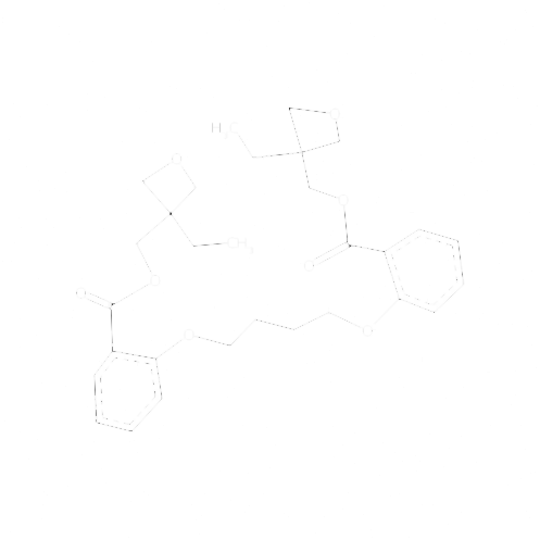 CCC1(COC(=O)c2ccccc2OCCCCOc2ccccc2C(=O)OCC2(CC)COC2)COC1